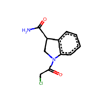 NC(=O)C1CN(C(=O)CCl)c2ccccc21